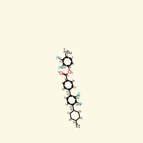 CCCCc1ccc(OC(=O)c2ccc(-c3ccc(C4CCC(CC)CC4)c(F)c3F)cc2)c(F)c1F